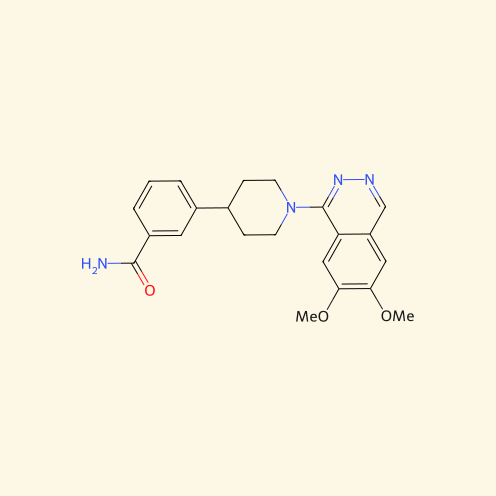 COc1cc2cnnc(N3CCC(c4cccc(C(N)=O)c4)CC3)c2cc1OC